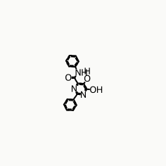 O=C(Nc1ccccc1)c1nc(-c2ccccc2)nc(O)c1O